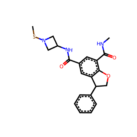 CNC(=O)c1cc(C(=O)NC2CN(SC)C2)cc2c1OCC2c1ccccc1